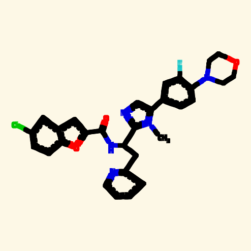 Cn1c(-c2ccc(N3CCOCC3)c(F)c2)cnc1C(Cc1ccccn1)NC(=O)c1cc2cc(Cl)ccc2o1